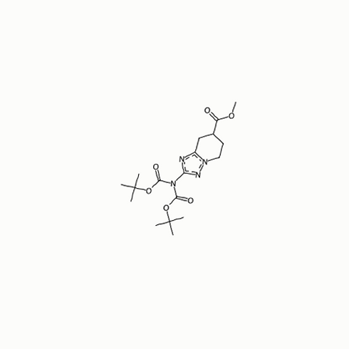 COC(=O)C1CCn2nc(N(C(=O)OC(C)(C)C)C(=O)OC(C)(C)C)nc2C1